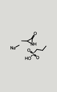 CC1NC1=O.CCCS(=O)(=O)O.[CH3][Na]